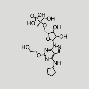 C[C@@](CO)(OC[C@H]1O[C@@H](n2ncc3c(NC4CCCC4)nc(OCCO)nc32)[C@H](O)[C@@H]1O)P(=O)(O)O